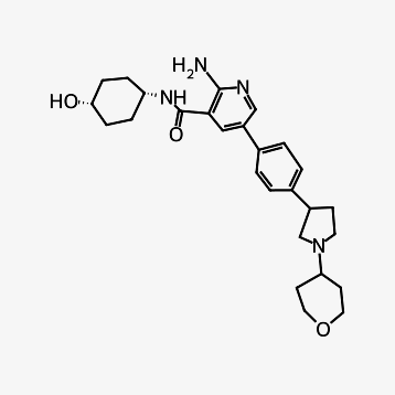 Nc1ncc(-c2ccc(C3CCN(C4CCOCC4)C3)cc2)cc1C(=O)N[C@H]1CC[C@@H](O)CC1